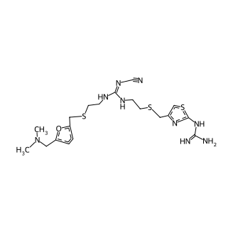 CN(C)Cc1ccc(CSCCN/C(=N/C#N)NCCSCc2csc(NC(=N)N)n2)o1